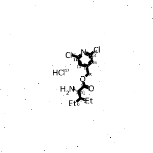 CCC(CC)[C@H](N)C(=O)OCc1cc(Cl)nc(Cl)c1.Cl